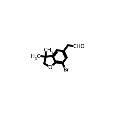 CC1(C)COc2c(Br)cc(CC=O)cc21